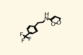 FC(F)(F)c1ccc(CCNC2=CCOO2)cc1